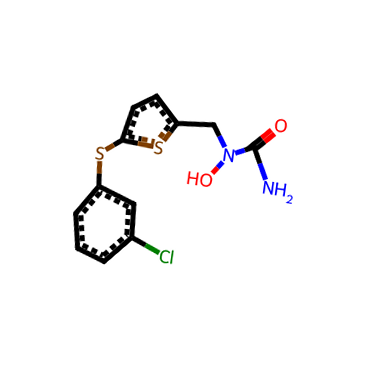 NC(=O)N(O)Cc1ccc(Sc2cccc(Cl)c2)s1